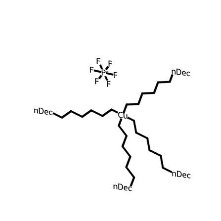 CCCCCCCCCCCCCCC[CH2][Cu]([CH2]CCCCCCCCCCCCCCC)([CH2]CCCCCCCCCCCCCCC)[CH2]CCCCCCCCCCCCCCC.F[P-](F)(F)(F)(F)F